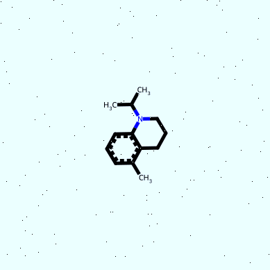 Cc1cccc2c1CCCN2C(C)C